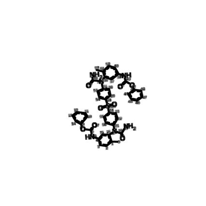 Cc1ccc(NC(=O)Oc2ccccc2)cc1N(C(N)=O)c1ccc(S(=O)(=O)c2ccc(N(C(N)=O)c3cc(NC(=O)Oc4ccccc4)ccc3C)cc2)cc1